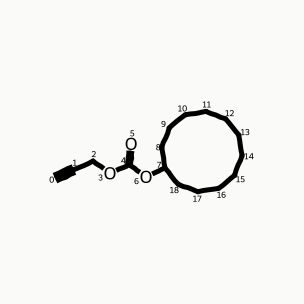 C#CCOC(=O)OC1CCCCCCCCCCC1